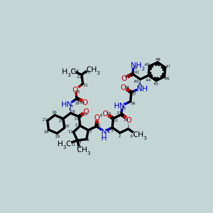 CCCC(NC(=O)C1CC(C)(C)CC1C(=O)[C@@H](NC(=O)OCC(C)C)C1CCCCC1)C(=O)C(=O)NCC(=O)N[C@H](C(N)=O)c1ccccc1